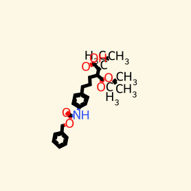 CC(C)CC(C(=O)O)C(CCCc1ccc(NC(=O)OCc2ccccc2)cc1)C(=O)OC(C)(C)C